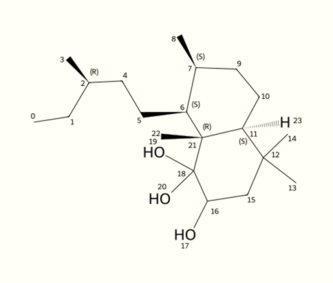 CC[C@@H](C)CC[C@H]1[C@@H](C)CC[C@H]2C(C)(C)CC(O)C(O)(O)[C@]12C